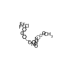 COC1CC2(CCN3c4cc(OCCc5ccc(Oc6ccc(Cl)c(C(F)(F)F)c6)cc5)nc(=O)n4CC3C2)C1